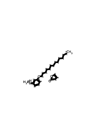 CCCCCCCCCCCCCCOc1cccc(NC)c1.O=C1CC=CO1